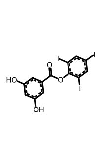 O=C(Oc1c(I)cc(I)cc1I)c1cc(O)cc(O)c1